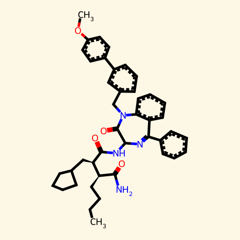 CCCC[C@H](C(N)=O)[C@@H](CC1CCCC1)C(=O)NC1N=C(c2ccccc2)c2ccccc2N(Cc2cccc(-c3ccc(OC)cc3)c2)C1=O